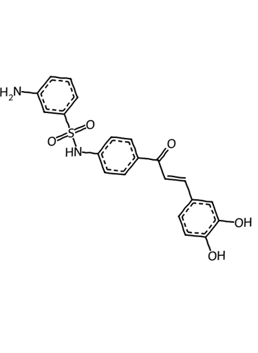 Nc1cccc(S(=O)(=O)Nc2ccc(C(=O)C=Cc3ccc(O)c(O)c3)cc2)c1